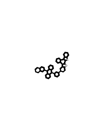 C1=Cc2ccc(-c3c4ccccc4c(-c4cccc(C5C=c6c(oc7c8sc9ccccc9c8c8ccccc8c67)=CC5)c4)c4ccccc34)cc2CC1